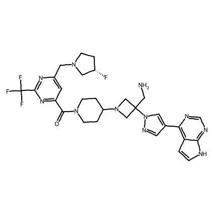 NCC1(n2cc(-c3ncnc4[nH]ccc34)cn2)CN(C2CCN(C(=O)c3cc(CN4CC[C@H](F)C4)nc(C(F)(F)F)n3)CC2)C1